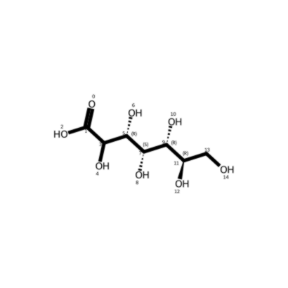 O=C(O)C(O)[C@H](O)[C@@H](O)[C@H](O)[C@H](O)CO